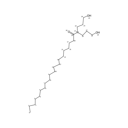 CCCCCCCCCCCCCCCCCCCC(=O)N(CCCO)CCCO